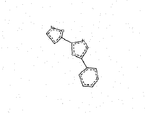 [c]1nc(-c2ccno2)sc1-c1ccccc1